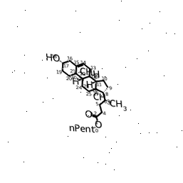 CCCCCOC(=O)CC[C@@H](C)[C@H]1CC[C@H]2[C@@H]3CC=C4C[C@@H](O)CC[C@]4(C)[C@H]3CC[C@]12C